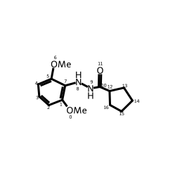 COc1cccc(OC)c1NNC(=O)C1CCCC1